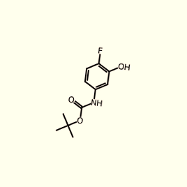 CC(C)(C)OC(=O)Nc1ccc(F)c(O)c1